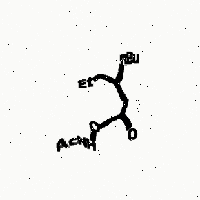 CCCCC(CC)CC(=O)ONC(C)=O